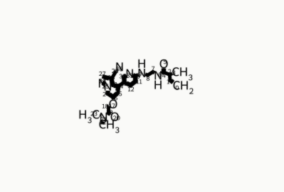 C=CC(C)C(=O)NCCNc1ccc(-c2cc(OCC(=O)N(C)C)cn3ncc(C#N)c23)cn1